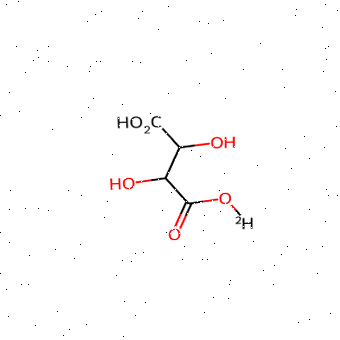 [2H]OC(=O)C(O)C(O)C(=O)O